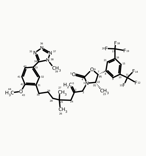 C=C(CN1C(=O)O[C@H](c2cc(C(F)(F)F)cc(C(F)(F)F)c2)[C@@H]1C)CC(C)(C)CCCc1cc(-c2nnnn2C)ccc1OC